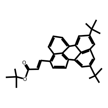 CC(C)(C)OC(=O)/C=C/c1ccc2c3cc(C(C)(C)C)cc4cc(C(C)(C)C)cc(c5cccc1c52)c43